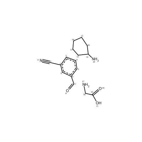 N#Cc1cccc(C=O)c1.NC1CCCCC1.NCC(=O)O